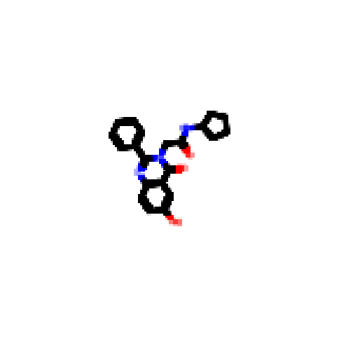 O=C(Cn1c(-c2ccccc2)nc2ccc(O)cc2c1=O)NC1CCCC1